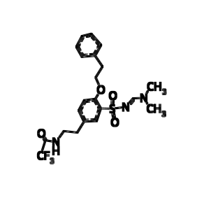 CN(C)C=NS(=O)(=O)c1cc(CCNC(=O)C(F)(F)F)ccc1OCCc1ccccc1